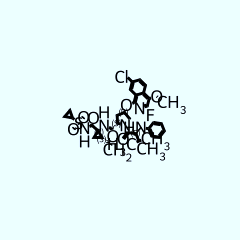 C=C[C@@H]1C[C@]1(NC(=O)[C@@H]1C[C@@H](Oc2ncc(OC)c3ccc(Cl)cc23)CN1C(=O)[C@@H](Nc1ccccc1F)C(C)(C)C)C(=O)NS(=O)(=O)C1CC1